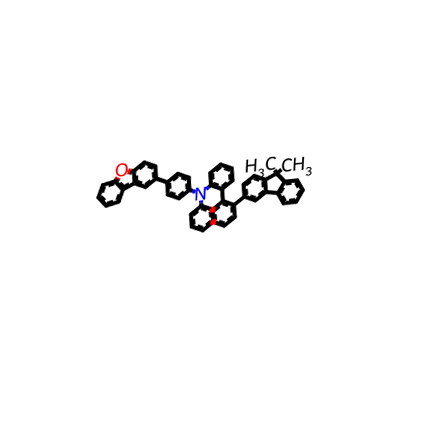 CC1(C)c2ccccc2-c2cc(-c3ccccc3-c3ccccc3N(c3ccccc3)c3ccc(-c4ccc5oc6ccccc6c5c4)cc3)ccc21